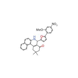 COc1cc([N+](=O)[O-])ccc1-c1ccc(C2Nc3ccc4ccccc4c3C3=C2C(=O)CC(C)(C)C3)o1